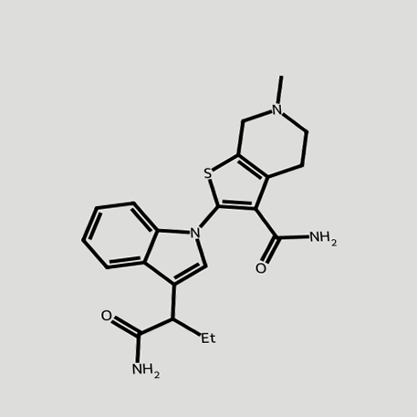 CCC(C(N)=O)c1cn(-c2sc3c(c2C(N)=O)CCN(C)C3)c2ccccc12